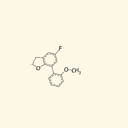 COc1ccccc1-c1cc(F)cc2c1O[CH]C2